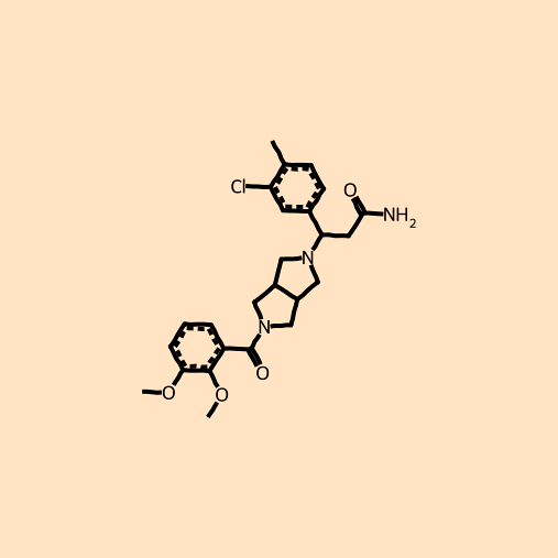 COc1cccc(C(=O)N2CC3CN(C(CC(N)=O)c4ccc(C)c(Cl)c4)CC3C2)c1OC